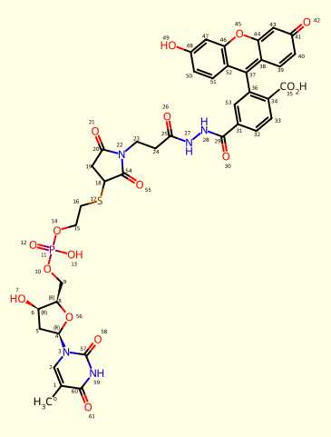 Cc1cn([C@H]2C[C@@H](O)[C@@H](COP(=O)(O)OCCSC3CC(=O)N(CCC(=O)NNC(=O)c4ccc(C(=O)O)c(-c5c6ccc(=O)cc-6oc6cc(O)ccc56)c4)C3=O)O2)c(=O)[nH]c1=O